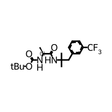 C[C@H](NC(=O)OC(C)(C)C)C(=O)NC(C)(C)Cc1cccc(C(F)(F)F)c1